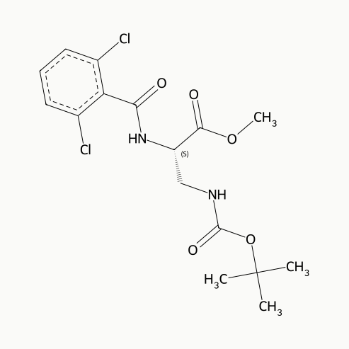 COC(=O)[C@H](CNC(=O)OC(C)(C)C)NC(=O)c1c(Cl)cccc1Cl